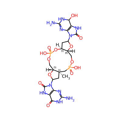 C[C@]12CC(n3c(=O)[nH]c4c(=O)[nH]c(N)nc43)O[C@@H]1COP(=O)(O)O[C@H]1CC(n3c4c([nH]c3=O)C(O)NC(N)=N4)O[C@@H]1COP(=O)(O)C2